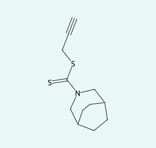 C#CCSC(=S)N1CC2CCC(CC2)C1